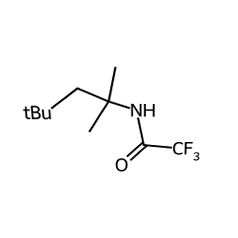 CC(C)(C)CC(C)(C)NC(=O)C(F)(F)F